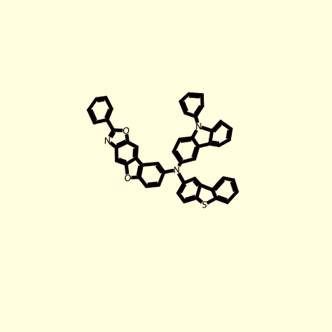 c1ccc(-c2nc3cc4oc5ccc(N(c6ccc7sc8ccccc8c7c6)c6ccc7c(c6)c6ccccc6n7-c6ccccc6)cc5c4cc3o2)cc1